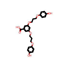 O=C(O)c1cc(OCCCOc2ccc(O)cc2)cc(OCCCOc2ccc(O)cc2)c1